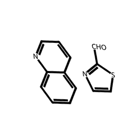 O=Cc1nccs1.c1ccc2ncccc2c1